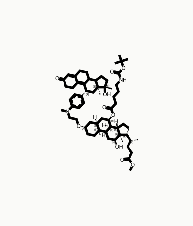 COC(=O)CC[C@@H](C)[C@H]1CC[C@H]2[C@@H]3[C@H](OC(=O)CCCCNC(=O)OC(C)(C)C)C[C@@H]4C[C@@H](OCCN(C)c5ccc([C@H]6C[C@@]7(C)C(CC[C@]7(C)O)C7CCC8=CC(=O)CCC8=C76)cc5)CC[C@]4(C)[C@H]3C[C@H](O)[C@]12C